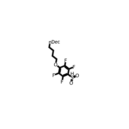 CCCCCCCCCCCCCCOc1c(F)c(F)c([SH](=O)=O)c(F)c1F